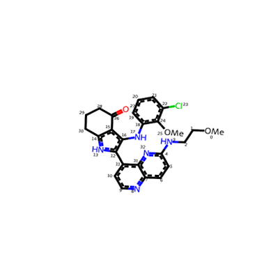 COCCNc1ccc2nccc(-c3[nH]c4c(c3Nc3cccc(Cl)c3OC)C(=O)CCC4)c2n1